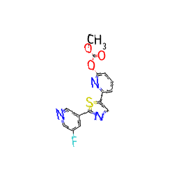 COC(=O)Oc1cccc(-c2cnc(-c3cncc(F)c3)s2)n1